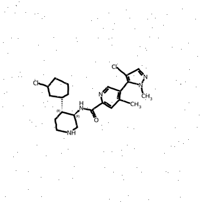 Cc1cc(C(=O)N[C@H]2CNCC[C@@H]2C2CCCC(Cl)C2)ncc1-c1c(Cl)cnn1C